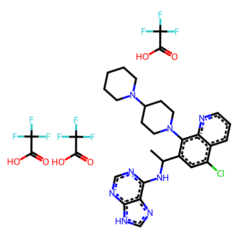 CC(Nc1ncnc2[nH]cnc12)c1cc(Cl)c2cccnc2c1N1CCC(N2CCCCC2)CC1.O=C(O)C(F)(F)F.O=C(O)C(F)(F)F.O=C(O)C(F)(F)F